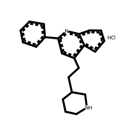 Cl.c1ccc(-c2cc(CCC3CCCNC3)c3ccccc3n2)cc1